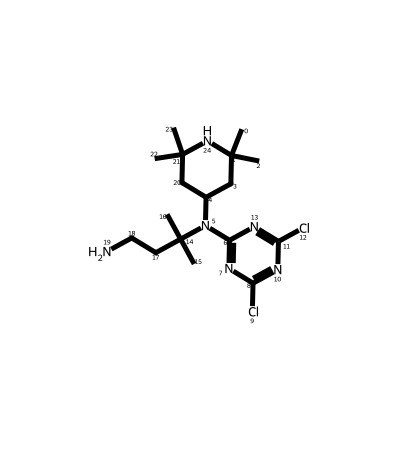 CC1(C)CC(N(c2nc(Cl)nc(Cl)n2)C(C)(C)CCN)CC(C)(C)N1